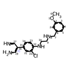 COc1cccc(CNCCNc2ccc(/C(C=N)=C/N)cc2Cl)c1